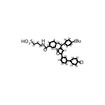 CC(C)(C)c1ccc(C(Cc2ccc(C(=O)NCCCS(=O)(=O)O)cc2)c2cc(-c3cccc(-c4ccc(Cl)cc4)c3)on2)cc1